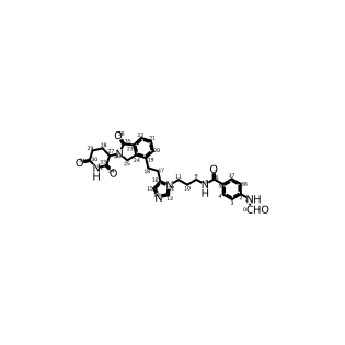 O=CNc1ccc(C(=O)NCCCn2cncc2CCc2cccc3c2CN(C2CCC(=O)NC2=O)C3=O)cc1